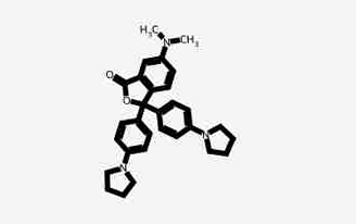 CN(C)c1ccc2c(c1)C(=O)OC2(c1ccc(N2CCCC2)cc1)c1ccc(N2CCCC2)cc1